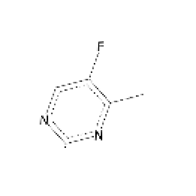 Cc1n[c]ncc1F